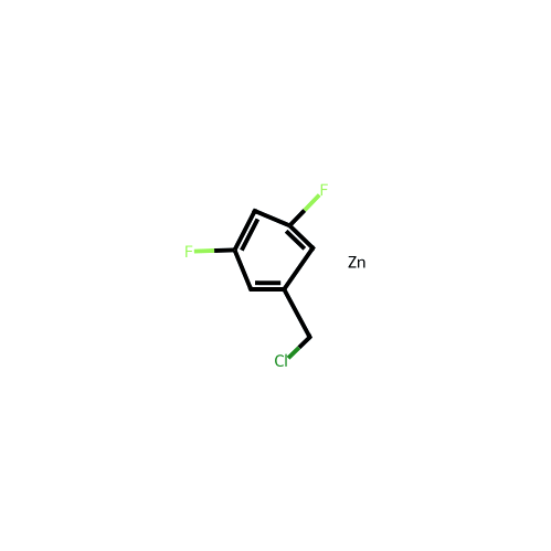 Fc1cc(F)cc(CCl)c1.[Zn]